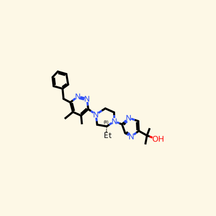 CC[C@@H]1CN(c2nnc(Cc3ccccc3)c(C)c2C)CCN1c1cnc(C(C)(C)O)cn1